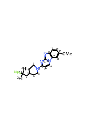 [2H]C([2H])([18F])CC1CCN(c2ccn3c(n2)nc2ccc(OC)cc23)CC1